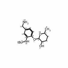 CC1CCC(O)C(OC2=C=C=C(CN)C=C2NC(C)(C)C)O1